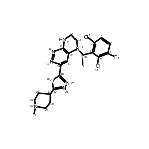 C[C@H](c1c(Cl)ccc(F)c1Cl)N1CCNc2nnc(-c3nnc(C4CCN(C)CC4)o3)cc21